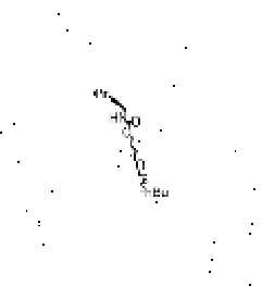 CCCCSSCOCCCCOC(=O)NCC#CC(C)C